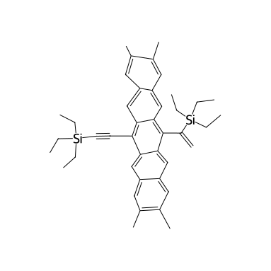 C=C(c1c2cc3cc(C)c(C)cc3cc2c(C#C[Si](CC)(CC)CC)c2cc3cc(C)c(C)cc3cc12)[Si](CC)(CC)CC